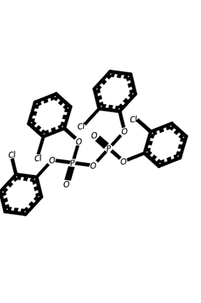 O=P(Oc1ccccc1Cl)(Oc1ccccc1Cl)OP(=O)(Oc1ccccc1Cl)Oc1ccccc1Cl